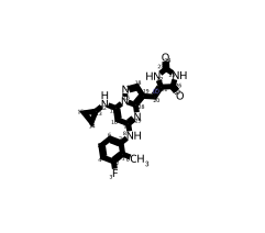 Cc1c(F)cccc1Nc1cc(NC2CC2)n2ncc(/C=C3\NC(=O)NC3=O)c2n1